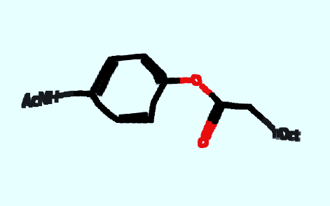 CCCCCCCCCC(=O)Oc1ccc(NC(C)=O)cc1